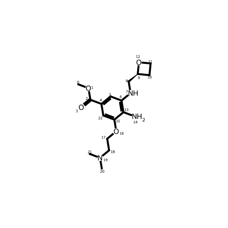 COC(=O)c1cc(NC[C@@H]2CCO2)c(N)c(OCCN(C)C)c1